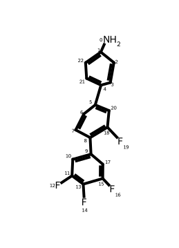 Nc1ccc(-c2ccc(-c3cc(F)c(F)c(F)c3)c(F)c2)cc1